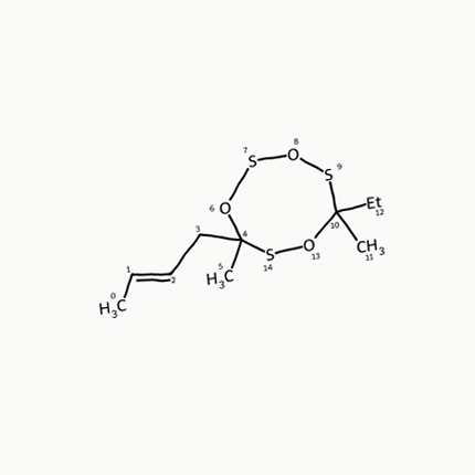 CC=CCC1(C)OSOSC(C)(CC)OS1